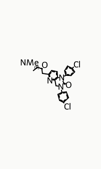 CN[C@@H](C)C(=O)Cc1ccc2c(n1)CN(c1ccc(Cl)cc1)C(=O)N2c1ccc(Cl)cc1